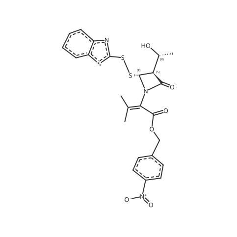 CC(C)=C(C(=O)OCc1ccc([N+](=O)[O-])cc1)N1C(=O)[C@H]([C@@H](C)O)[C@H]1SSc1nc2ccccc2s1